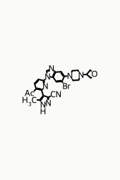 CC(=O)c1ccc(-n2cnc3cc(N4CCN(C5COC5)CC4)c(Br)cc32)nc1-c1c(C#N)n[nH]c1C